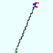 O=C(CCCCCCCCCCCCCCCCCCCCCCCCCCCBr)NO